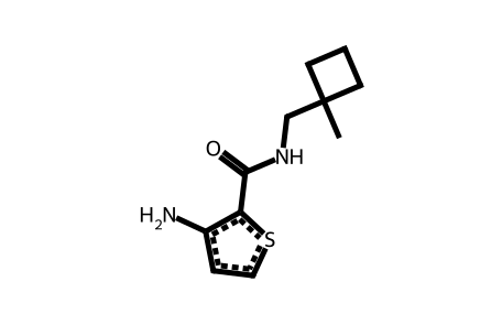 CC1(CNC(=O)c2sccc2N)CCC1